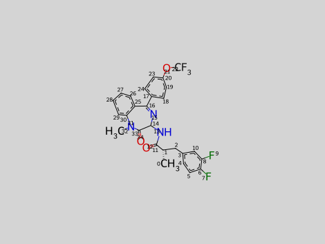 C[C@@H](Cc1ccc(F)c(F)c1)C(=O)NC1N=C(c2ccc(OC(F)(F)F)cc2)c2ccccc2N(C)C1=O